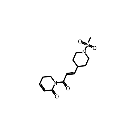 CS(=O)(=O)N1CCC(/C=C/C(=O)N2CCC=CC2=O)CC1